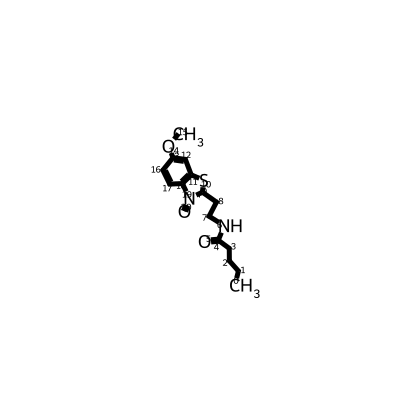 CCCCC(=O)NCCC1Sc2cc(OC)ccc2[N+]1=O